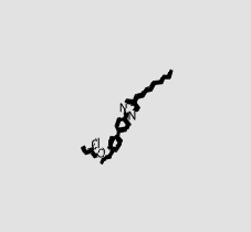 CCCCCCCCCc1cnc(-c2ccc(-c3ccc(CC(C)OC[C@@H](Cl)CC)cc3)cc2)nc1